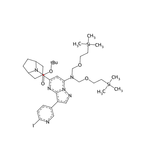 CC(C)(C)OC(=O)N1C2CCC1CC(c1cc(N(COCC[Si](C)(C)C)COCC[Si](C)(C)C)n3ncc(-c4ccc(I)nc4)c3n1)C2